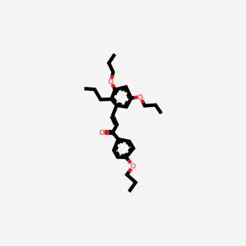 CCCOc1ccc(C(=O)C=Cc2cc(OCCC)cc(OCCC)c2CCC)cc1